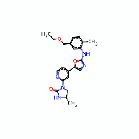 CCOCc1ccc(C)c(Nc2ncc(-c3ccnc(N4CC(C)NC4=O)c3)o2)c1